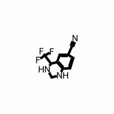 N#Cc1ccc2c(c1)C(C(F)(F)F)NCN2